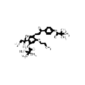 C=CC(C)(C)c1cc(C=CC(=O)c2ccc(OC(=O)C(C)(C)C)cc2)c(OCCC)cc1OC(=O)C(C)(C)C